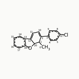 CC1C(c2ccc(Cl)cc2)=CC=C2c3ccccc3OC21